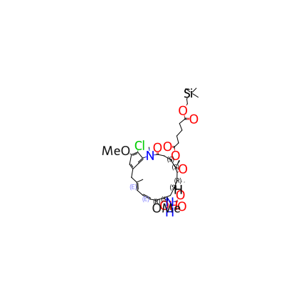 COc1cc2cc(c1Cl)N(C)C(=O)C[C@H](OC(=O)CCCCC(=O)OCC[Si](C)(C)C)[C@]1(C)OC1[C@H](C)[C@@H]1C[C@@](O)(NC(=O)O1)[C@H](OC)/C=C/C=C(\C)C2